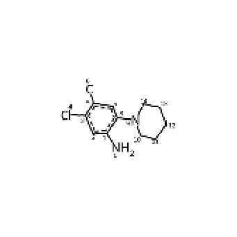 Nc1cc(Cl)c(Cl)cc1N1CCCCC1